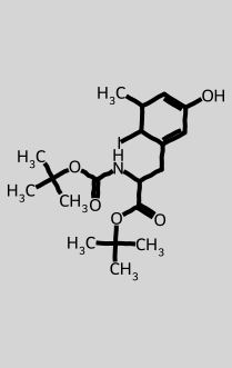 CC1C=C(O)C=C(CC(NC(=O)OC(C)(C)C)C(=O)OC(C)(C)C)C1I